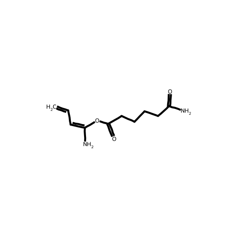 C=CC=C(N)OC(=O)CCCCC(N)=O